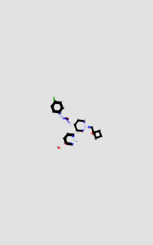 COc1ccc([C@@H]2CN(CC3(O)CCC3)CC[C@H]2NC(=O)Nc2ccc(Cl)cc2)nc1